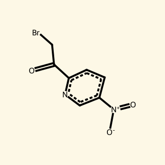 O=C(CBr)c1ccc([N+](=O)[O-])cn1